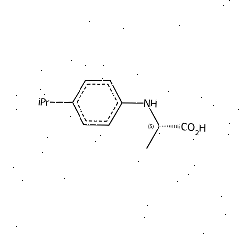 CC(C)c1ccc(N[C@@H](C)C(=O)O)cc1